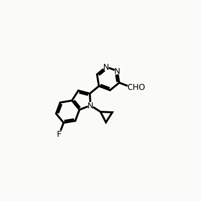 O=Cc1cc(-c2cc3ccc(F)cc3n2C2CC2)cnn1